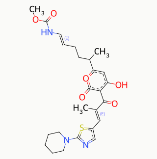 COC(=O)N/C=C/CCC(C)c1cc(O)c(C(=O)/C(C)=C/c2cnc(N3CCCCC3)s2)c(=O)o1